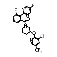 O=C(c1cccc(F)c1-c1ncc(F)cn1)N1CCCC(Oc2ncc(C(F)(F)F)cc2Cl)C1